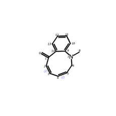 C=C1/C=C\C=C/CN(C)c2ccccc21